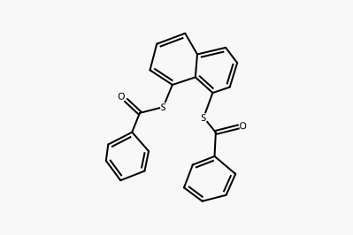 O=C(Sc1cccc2cccc(SC(=O)c3ccccc3)c12)c1ccccc1